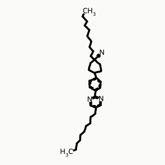 CCCCCCCCCCc1cnc(-c2ccc(C3CCC(C#N)(CCCCCCCCCC)CC3)cc2)nc1